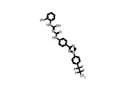 CC(C)c1ccccc1N/C(S)=N/C(=O)Nc1ccc(-c2ncn(-c3ccc(C(F)(F)C(F)(F)C(F)(F)F)cc3)n2)cc1